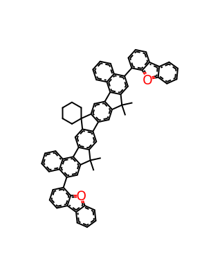 CC1(C)c2cc3c(cc2-c2c1cc(-c1cccc4c1oc1ccccc14)c1ccccc21)C1(CCCCC1)c1cc2c(cc1-3)C(C)(C)c1cc(-c3cccc4c3oc3ccccc34)c3ccccc3c1-2